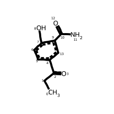 CCC(=O)c1ccc(O)c(C(N)=O)c1